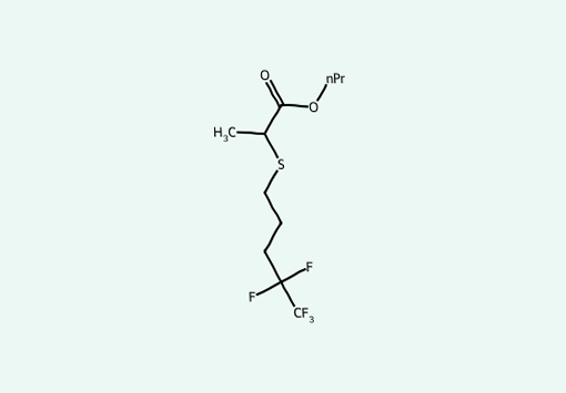 CCCOC(=O)C(C)SCCCC(F)(F)C(F)(F)F